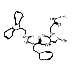 CC(C)(C)OCC(NC(=O)N(Cc1ccccc1)NC(=O)OCC1c2ccccc2-c2ccccc21)C(=O)NCC(=O)NN